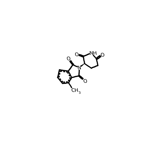 Cc1cccc2c1C(=O)N([C@@H]1CCC(=O)NC1=O)C2=O